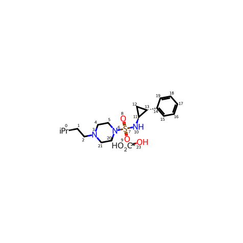 CC(C)CCN1CCN(S(=O)(=O)N[C@H]2C[C@@H]2c2ccccc2)CC1.O=C(O)O